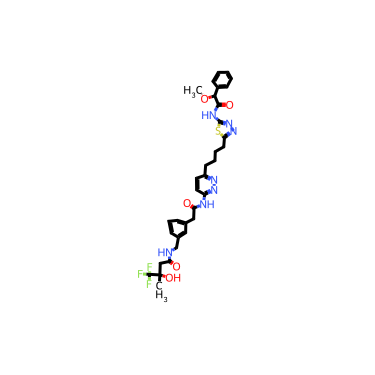 COC(C(=O)Nc1nnc(CCCCc2ccc(NC(=O)Cc3cccc(CNC(=O)CC(C)(O)C(F)(F)F)c3)nn2)s1)c1ccccc1